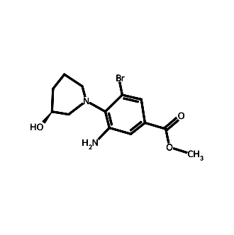 COC(=O)c1cc(N)c(N2CCC[C@H](O)C2)c(Br)c1